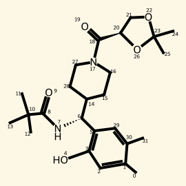 Cc1cc(O)c([C@H](NC(=O)C(C)(C)C)C2CCN(C(=O)[C@H]3COC(C)(C)O3)CC2)cc1C